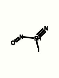 N#[SH](I)N=O